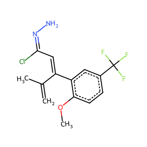 C=C(C)/C(=C\C(Cl)=N/N)c1cc(C(F)(F)F)ccc1OC